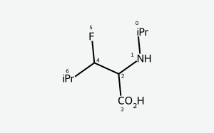 CC(C)NC(C(=O)O)C(F)C(C)C